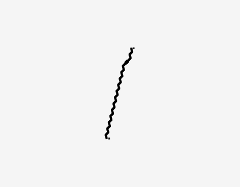 [CH2]CCCC#CCCCCCCCCCCCCCCCCCCCCCCC[CH2]